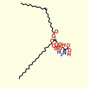 CCCCCCCCCC/C=C\CCCCCCCCCC(=O)OC[C@H](COP(=O)(O)OC[C@H](N)C(=O)O)OC(=O)CCCCCCCCCCCCCCCCCCCC